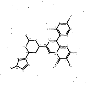 Cc1nc2c(-c3ccc(F)cc3F)nc(C3CC(C)OC(c4cnn(C)c4)C3)cn2c(=O)c1F